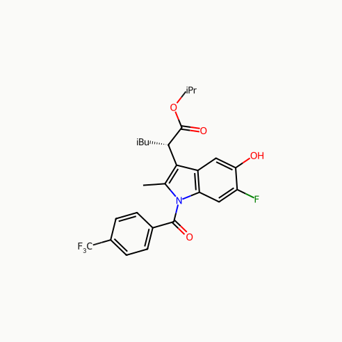 CCC(C)[C@H](C(=O)OC(C)C)c1c(C)n(C(=O)c2ccc(C(F)(F)F)cc2)c2cc(F)c(O)cc12